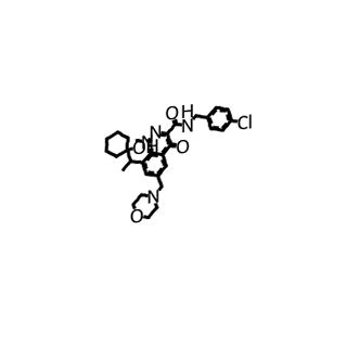 CC(c1cc(CN2CCOCC2)cc2c(=O)c(C(=O)NCc3ccc(Cl)cc3)nn(C)c12)C1(O)CCCCC1